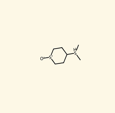 C[SH](C)C1CC[S+]([O-])CC1